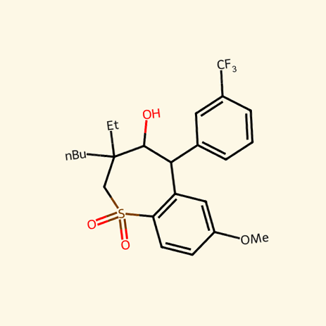 CCCCC1(CC)CS(=O)(=O)c2ccc(OC)cc2C(c2cccc(C(F)(F)F)c2)C1O